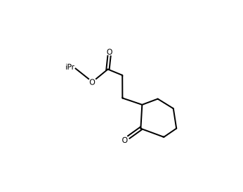 CC(C)OC(=O)CCC1CCCCC1=O